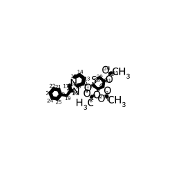 CC(=O)O[C@@H]1[C@@H](OC(C)=O)[C@@H](Oc2cccn3cc(Cc4ccccc4)nc23)SC[C@H]1OC(C)=O